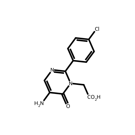 Nc1cnc(-c2ccc(Cl)cc2)n(CC(=O)O)c1=O